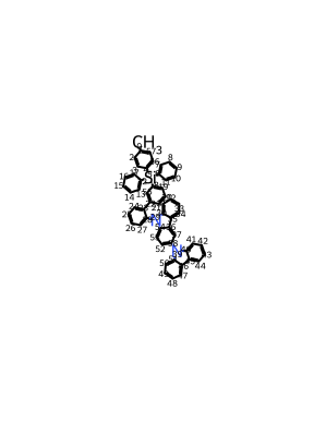 Cc1ccc([Si](c2ccccc2)(c2ccccc2)c2cccc(-c3ccccc3-n3c4ccccc4c4cc(-n5c6ccccc6c6ccccc65)ccc43)c2)cc1